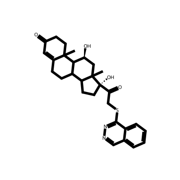 CC12CCC(=O)C=C1CCC1C2[C@@H](O)CC2(C)C1CC[C@]2(O)C(=O)CSc1nncc2ccccc12